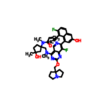 C#Cc1c(F)ccc2cc(O)cc(-c3ncc4c(N(C)CC5(N(C)C(=O)C=C)CCC(C)(O)C5)nc(OCC56CCCN5CCC6)nc4c3F)c12